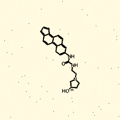 O=C(NCCN1CC[C@@H](O)C1)NC1=CCc2c(ccc3c4c(ccc23)=CC=C4)=C1